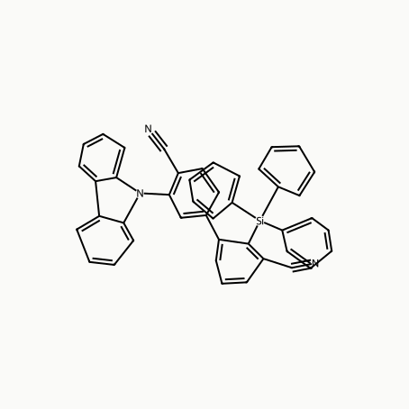 N#Cc1ccc(-c2cccc(C#N)c2[Si](c2ccccc2)(c2ccccc2)c2ccccc2)cc1-n1c2ccccc2c2ccccc21